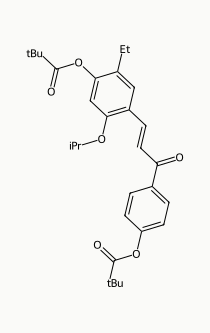 CCc1cc(C=CC(=O)c2ccc(OC(=O)C(C)(C)C)cc2)c(OC(C)C)cc1OC(=O)C(C)(C)C